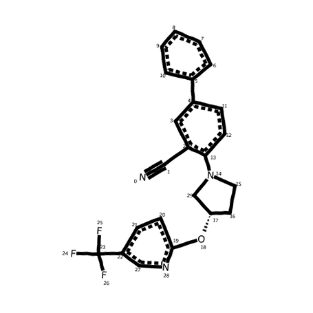 N#Cc1cc(-c2ccccc2)ccc1N1CC[C@H](Oc2ccc(C(F)(F)F)cn2)C1